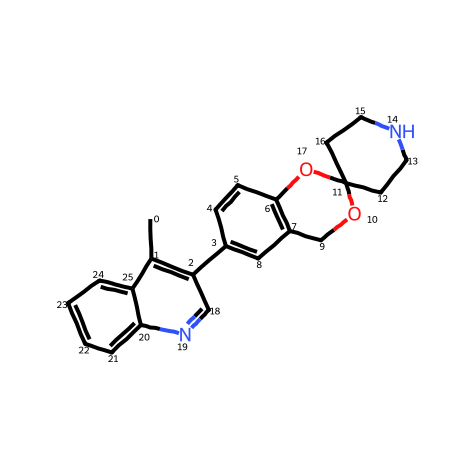 Cc1c(-c2ccc3c(c2)COC2(CCNCC2)O3)cnc2ccccc12